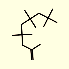 C=C(C)CC(C)(C)CC(C)(C)CC(C)(C)C